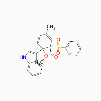 COC1(c2c[nH]c3ccccc23)C=CC(C)=CC1(C=O)S(=O)(=O)c1ccccc1